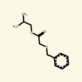 CC(C)COC(=O)CO[CH]c1ccccc1